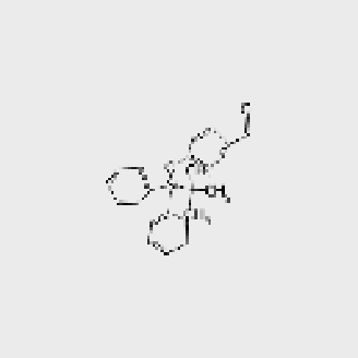 CC(C)(C)[Si](Oc1ccc(C=O)cc1)(c1ccccc1)c1ccccc1